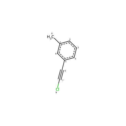 Cc1cccc(C#CCl)c1